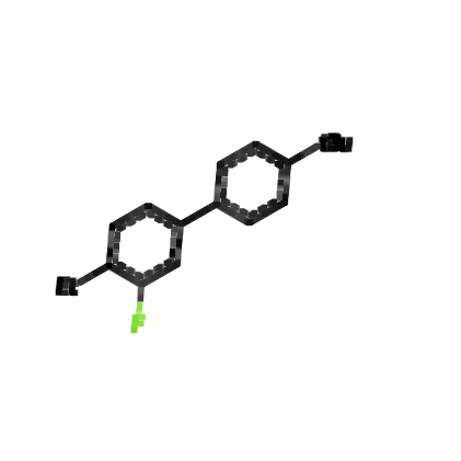 CCc1ccc(-c2ccc(C(C)(C)C)cc2)cc1F